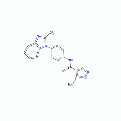 Cc1nnsc1C(=O)Nc1ccc(-n2c(C(F)(F)F)nc3ccccc32)cc1